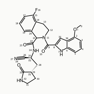 COc1cccc2[nH]c(C(=O)N3CCc4c(F)cccc4C3C(=O)N[C@H](C#N)C[C@@H]3CCNC3=O)cc12